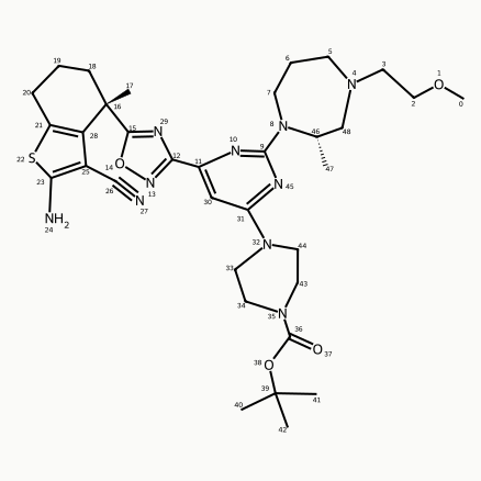 COCCN1CCCN(c2nc(-c3noc([C@@]4(C)CCCc5sc(N)c(C#N)c54)n3)cc(N3CCN(C(=O)OC(C)(C)C)CC3)n2)[C@@H](C)C1